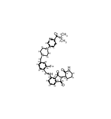 CN(C)C(=O)c1ccc(N2CCN(Cc3ccc(CNc4cccc5c4C(=O)N(C4CCCNC4=O)C5=O)c(F)c3)CC2)cn1